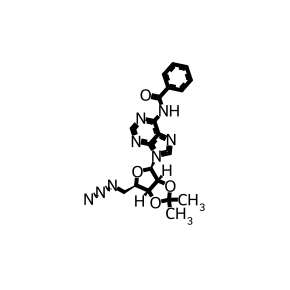 CC1(C)O[C@@H]2[C@H](O1)[C@@H](CN=[N+]=[N-])O[C@H]2n1cnc2c(NC(=O)c3ccccc3)ncnc21